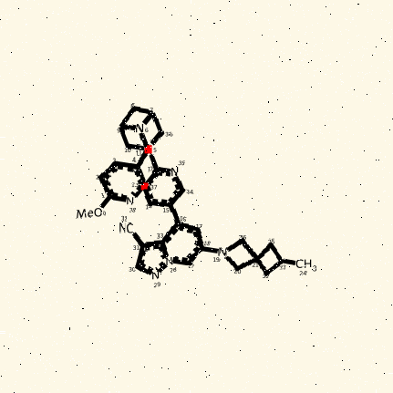 COc1ccc(CN2C3CC2CN(c2ccc(-c4cc(N5CC6(CC(C)C6)C5)cn5ncc(C#N)c45)cn2)C3)cn1